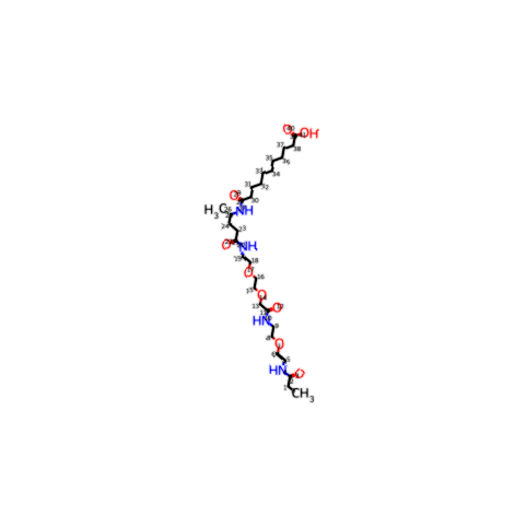 CCC(=O)NCCOCCNC(=O)COCCOCCNC(=O)CC[C@H](C)NC(=O)CCCCCCCCCC(=O)O